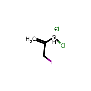 C=C(CI)[SiH](Cl)Cl